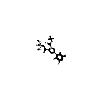 COP(=O)(CC(=O)[C@H]1C[C@H](c2c(F)c(F)cc(F)c2F)CN1C(=O)OC(C)(C)C)OC